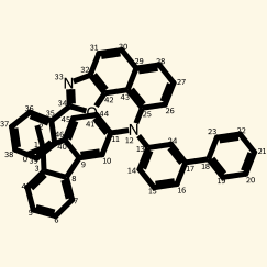 CC1(C)c2ccccc2-c2cc(N(c3cccc(-c4ccccc4)c3)c3cccc4ccc5nc(-c6ccccc6)oc5c34)ccc21